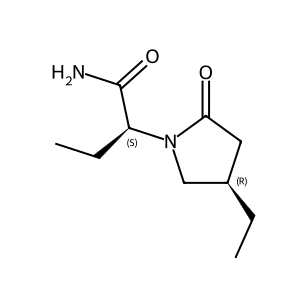 CC[C@@H]1CC(=O)N([C@@H](CC)C(N)=O)C1